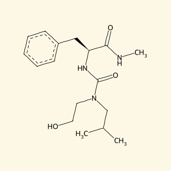 CNC(=O)[C@H](Cc1ccccc1)NC(=O)N(CCO)CC(C)C